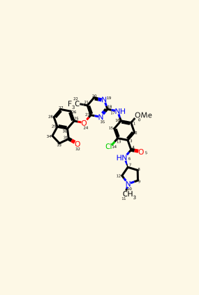 COc1cc(C(=O)N[C@H]2CCN(C)C2)c(Cl)cc1Nc1ncc(C(F)(F)F)c(Oc2cccc3c2C(=O)CC3)n1